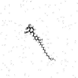 CCCCCCCCCCCCCCNc1ccc(C=Cc2ccc([N+](=O)[O-])c(C#N)c2)cc1